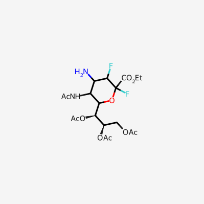 CCOC(=O)C1(F)OC([C@H](OC(C)=O)[C@@H](COC(C)=O)OC(C)=O)C(NC(C)=O)C(N)C1F